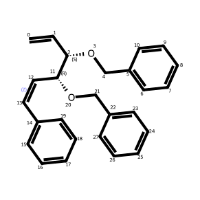 C=C[C@H](OCc1ccccc1)[C@@H](/C=C\c1ccccc1)OCc1ccccc1